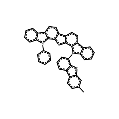 Cc1ccc2c(c1)oc1c(-n3c4ccccc4c4ccc5c6ccc7c8ccccc8n(-c8ccccc8)c7c6oc5c43)cccc12